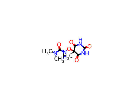 CN(C)C(=O)NOC1(C)C(=O)NC(=O)NC1=O